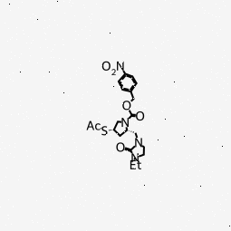 CCN1CCN(C[C@@H]2C[C@H](SC(C)=O)CN2C(=O)OCc2ccc([N+](=O)[O-])cc2)C1=O